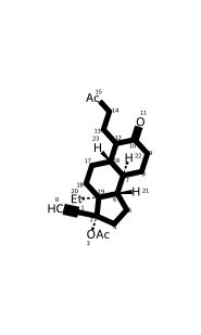 C#C[C@]1(OC(C)=O)CC[C@H]2[C@@H]3CCC(=O)C(CCC(C)=O)[C@H]3CC[C@@]21CC